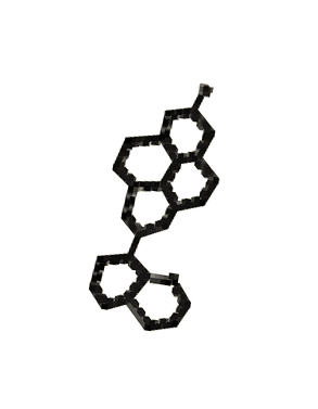 Brc1cc2ccc3cc(-c4cccc5cccnc45)cc4ccc(c1)c2c34